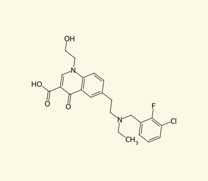 CCN(CCc1ccc2c(c1)c(=O)c(C(=O)O)cn2CCO)Cc1cccc(Cl)c1F